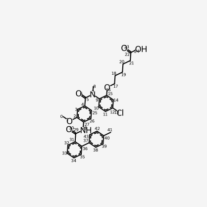 COc1cc(C(=O)N(C)c2ccc(Cl)cc2OCCCCCC(=O)O)ccc1NC(=O)c1ccccc1-c1ccc(C)cc1